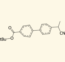 CC(C#N)c1ccc(-c2ccc(C(=O)OC(C)(C)C)cc2)cc1